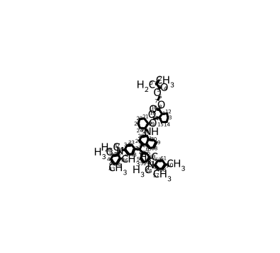 C=C(C)C(=O)OCCOC(=O)C1CCCCC1C(=O)OC1CCCCC1Nc1ccc(C(c2ccc(N(C)c3c(C)cc(C)cc3C)cc2)c2ccc(N(C)c3c(C)cc(C)cc3C)cc2)c2ccccc12